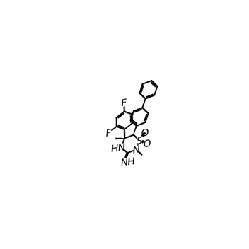 CN1C(=N)N[C@](C)(c2ccc(F)cc2F)[C@@H](c2ccc(-c3ccccc3)cc2)S1(=O)=O